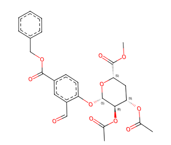 COC(=O)[C@@H]1C[C@H](OC(C)=O)[C@@H](OC(C)=O)[C@H](Oc2ccc(C(=O)OCc3ccccc3)cc2C=O)O1